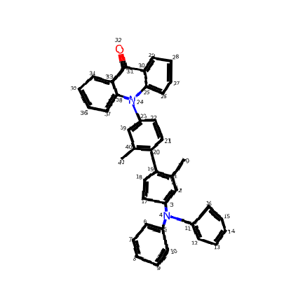 Cc1cc(N(c2ccccc2)c2ccccc2)ccc1-c1ccc(-n2c3ccccc3c(=O)c3ccccc32)cc1C